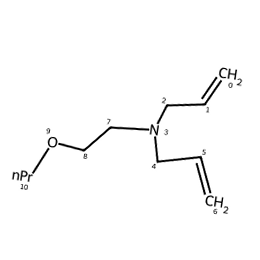 C=CCN(CC=C)CCOCCC